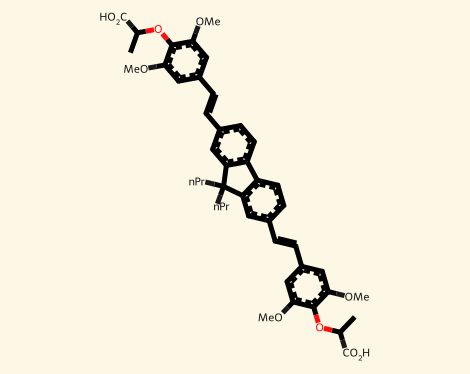 CCCC1(CCC)c2cc(/C=C/c3cc(OC)c(OC(C)C(=O)O)c(OC)c3)ccc2-c2ccc(/C=C/c3cc(OC)c(OC(C)C(=O)O)c(OC)c3)cc21